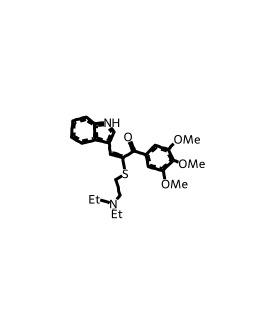 CCN(CC)CCS/C(=C/c1c[nH]c2ccccc12)C(=O)c1cc(OC)c(OC)c(OC)c1